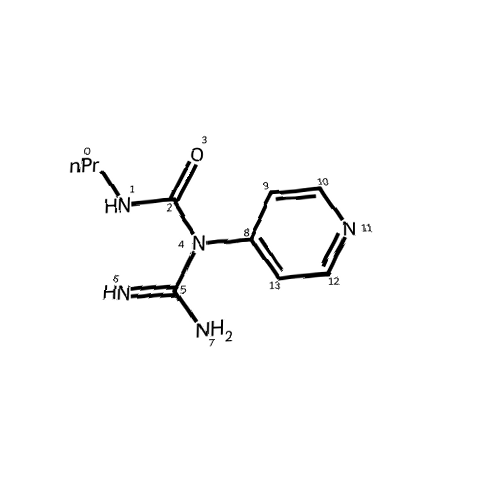 CCCNC(=O)N(C(=N)N)c1ccncc1